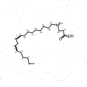 CCCCC/C=C\C/C=C\CCCCCCCCN(C)CCC(=O)O